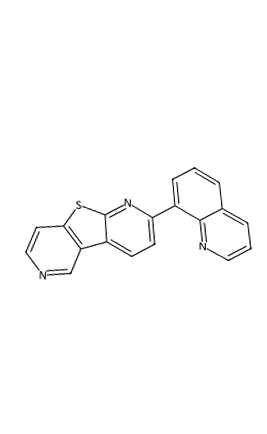 c1cnc2c(-c3ccc4c(n3)sc3ccncc34)cccc2c1